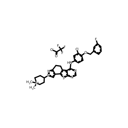 C[N+]1(C)CCC(n2cc3c(n2)CCc2c-3sc3ncnc(Nc4ccc(OCc5cccc(F)c5)c(Cl)c4)c23)CC1.O=C([O-])C(F)(F)F